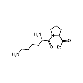 CCC(=O)[C@@H]1CCCN1C(=O)[C@@H](N)CCCCN